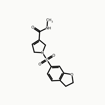 CNC(=O)C1=CCN(S(=O)(=O)c2ccc3c(c2)OCC3)C1